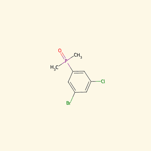 CP(C)(=O)c1cc(Cl)cc(Br)c1